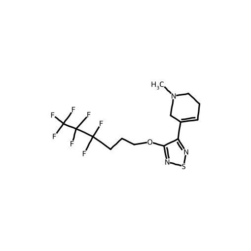 CN1CCC=C(c2nsnc2OCCCC(F)(F)C(F)(F)C(F)(F)F)C1